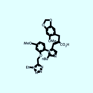 CCCCc1ncc(C=C(Cc2cc3c(cc2OC)OCO3)C(=O)O)n1-c1ccc(OC)cc1OCc1nnnn1CC